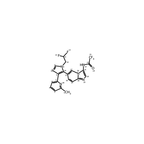 Cc1cccc(-c2ncn(CC(F)F)c2-c2ccc3ncc(NC(=O)C(F)(F)F)n3c2)n1